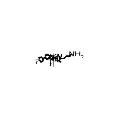 CC(NC(=O)c1cc2ccc(-c3ccc(F)cc3)cc2[nH]1)C(N)CCCN